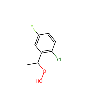 CC(OO)c1cc(F)ccc1Cl